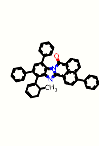 CC1CC=CC=C1c1c(-c2ccccc2)cc(-c2ccccc2)c2c1nc1c3ccc(-c4ccccc4)c4cccc(c(=O)n12)c43